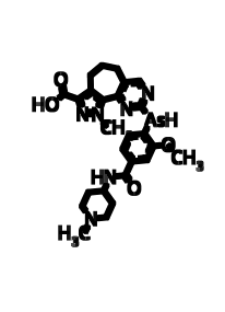 COc1cc(C(=O)NC2CCN(C)CC2)ccc1[AsH]c1ncc2c(n1)-c1c(c(C(=O)O)nn1C)CCC2